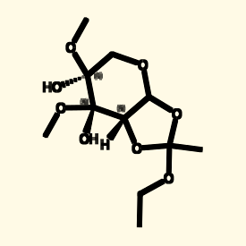 CCOC1(C)OC2OC[C@](O)(OC)[C@@](O)(OC)[C@H]2O1